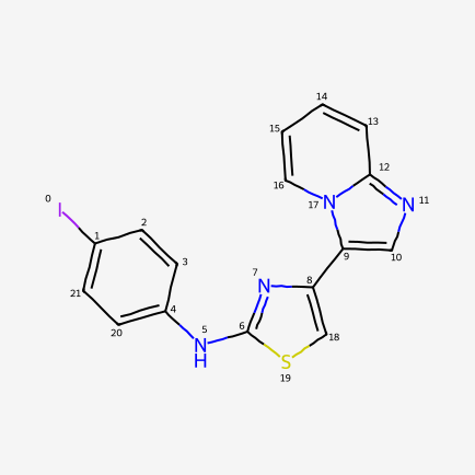 Ic1ccc(Nc2nc(-c3cnc4ccccn34)cs2)cc1